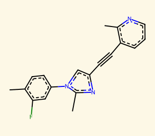 Cc1ccc(-n2cc(C#Cc3cccnc3C)nc2C)cc1F